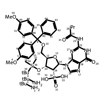 CC(C)(C)N.CC(C)(C)N.COc1ccc(C(OC[C@H]2O[C@@H](n3cnc4c(=O)[nH]c(NC(=O)C(C)C)nc43)[C@H](P(=O)(O)O)[C@@H]2O[Si](C)(C)C(C)(C)C)(c2ccccc2)c2ccc(OC)cc2)cc1